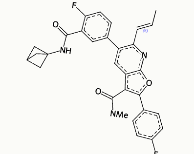 C/C=C/c1nc2oc(-c3ccc(F)cc3)c(C(=O)NC)c2cc1-c1ccc(F)c(C(=O)NC23CC(C2)C3)c1